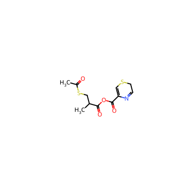 CC(=O)SCC(C)C(=O)OC(=O)C1=CSCC=N1